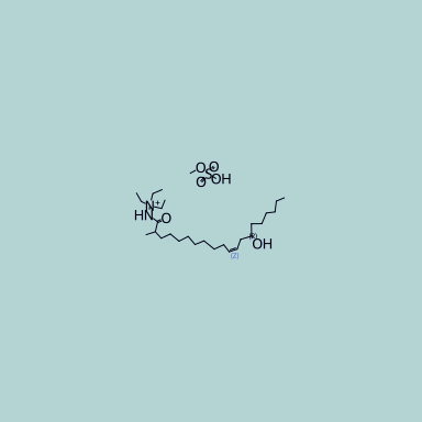 CCCCCC[C@@H](O)C/C=C\CCCCCCCCC(C)C(=O)N[N+](CC)(CC)CC.COS(=O)(=O)O